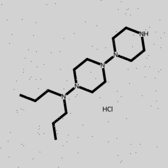 CCCN(CCC)N1CCN(N2CCNCC2)CC1.Cl